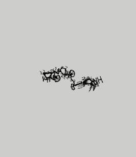 O=C(CCC(=O)N1CCC(N2Cc3ccccc3NC2=O)CC1)c1ccc2[nH]cnc2c1